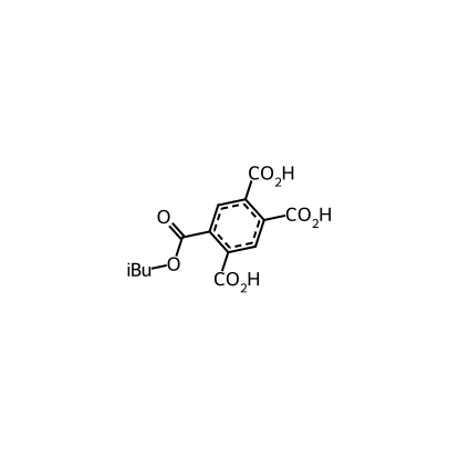 CCC(C)OC(=O)c1cc(C(=O)O)c(C(=O)O)cc1C(=O)O